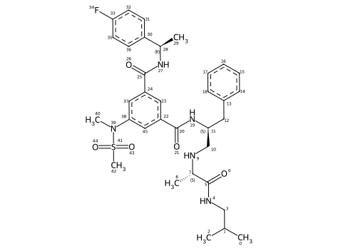 CC(C)CNC(=O)[C@H](C)NC[C@H](Cc1ccccc1)NC(=O)c1cc(C(=O)N[C@H](C)c2ccc(F)cc2)cc(N(C)S(C)(=O)=O)c1